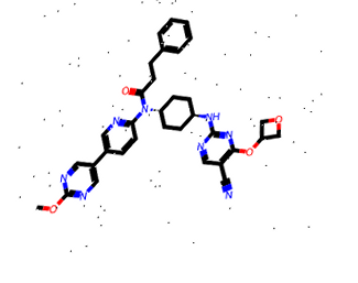 COc1ncc(-c2ccc(N(C(=O)CCc3ccccc3)[C@H]3CC[C@H](Nc4ncc(C#N)c(OC5COC5)n4)CC3)nc2)cn1